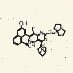 C#Cc1cccc2cc(O)cc(-c3ncc4c(N5CC6CC(C5)N6)nc(OCC56CCCN5CCC6)nc4c3F)c12